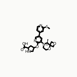 CSc1cc(-c2cnc(OC3CNC(C(=O)O)C3)c(N3CCOC4(COC4)[C@@H]3C)c2)ccn1